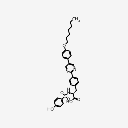 CCCCCCCOc1ccc(-c2cnc(-c3ccc(C[C@H](NS(=O)(=O)c4ccc(O)cc4)C(=O)O)cc3)nc2)cc1